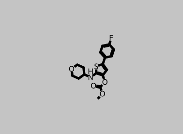 COC(=O)Oc1cc(-c2ccc(F)cc2)sc1NC1CCOCC1